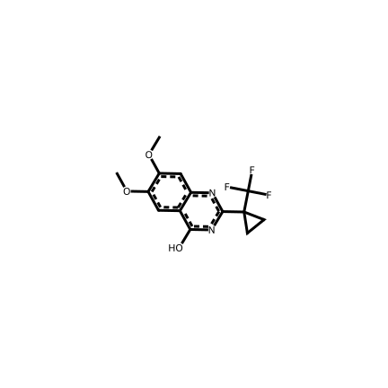 COc1cc2nc(C3(C(F)(F)F)CC3)nc(O)c2cc1OC